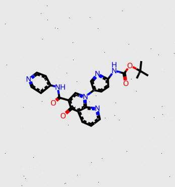 CC(C)(C)OC(=O)Nc1ccc(-n2cc(C(=O)Nc3ccncc3)c(=O)c3cccnc32)cn1